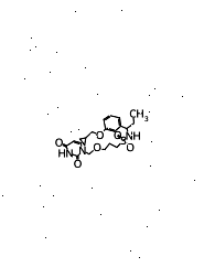 CCC(NS(=O)(=O)CCCOCn1ccc(=O)[nH]c1=O)c1cccc(OCC2CC2)c1